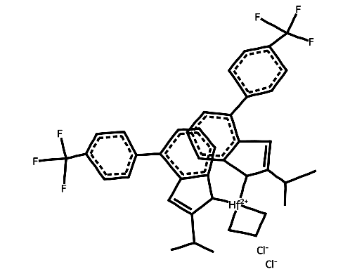 CC(C)C1=Cc2c(-c3ccc(C(F)(F)F)cc3)cccc2[CH]1[Hf+2]1([CH]2C(C(C)C)=Cc3c(-c4ccc(C(F)(F)F)cc4)cccc32)[CH2]C[CH2]1.[Cl-].[Cl-]